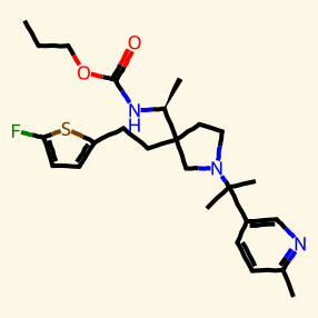 CCCOC(=O)N[C@@H](C)C1(CCc2ccc(F)s2)CCN(C(C)(C)c2ccc(C)nc2)C1